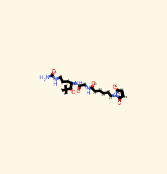 CC(C)(C)C(=O)C(CCCNC(N)=O)NC(=O)CNC(=O)CCCCCN1C(=O)C=CC1=O